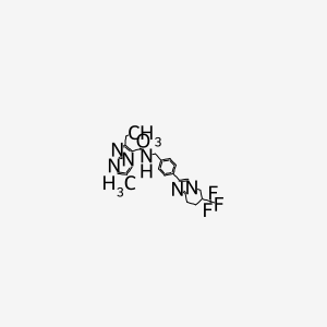 CCc1nc2ncc(C)cn2c1C(=O)NCc1ccc(-c2cn3c(n2)CCC(C(F)(F)F)C3)cc1